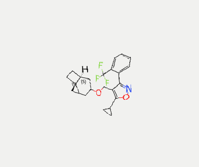 FC(F)(F)c1ccccc1-c1noc(C2CC2)c1COC1CC2C[C@]23CC[C@H]3C1